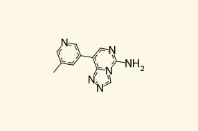 Cc1cncc(-c2cnc(N)n3cnnc23)c1